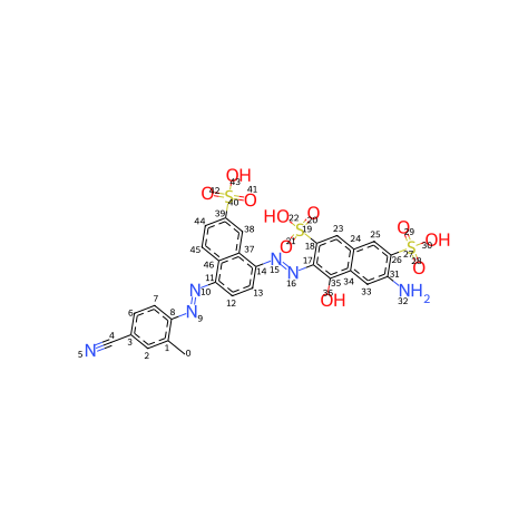 Cc1cc(C#N)ccc1N=Nc1ccc(N=Nc2c(S(=O)(=O)O)cc3cc(S(=O)(=O)O)c(N)cc3c2O)c2cc(S(=O)(=O)O)ccc12